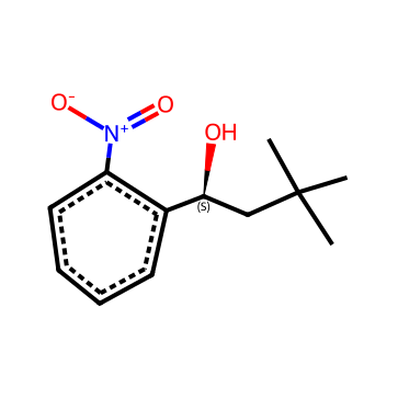 CC(C)(C)C[C@H](O)c1ccccc1[N+](=O)[O-]